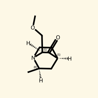 COC[C@H]1C(=O)[C@H]2CCN1[C@H](C)C2